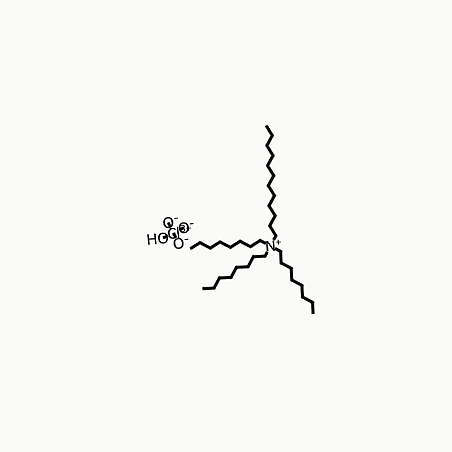 CCCCCCCCCCCC[N+](CCCCCCCC)(CCCCCCCC)CCCCCCCC.[O-][Cl+3]([O-])([O-])O